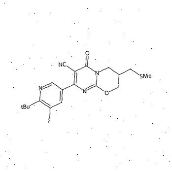 CSCC1COc2nc(-c3cnc(C(C)(C)C)c(F)c3)c(C#N)c(=O)n2C1